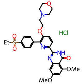 CCS(=O)(=O)c1ccc(-c2nc(-c3nc4cc(OC)cc(OC)c4c(=O)[nH]3)ccc2OCCN2CCOCC2)cc1.Cl